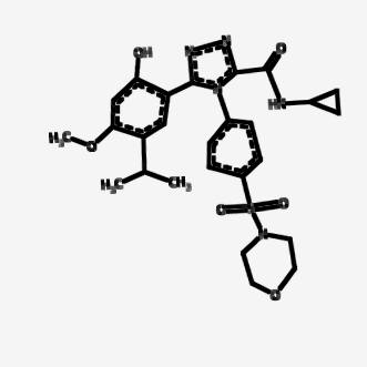 COc1cc(O)c(-c2nnc(C(=O)NC3CC3)n2-c2ccc(S(=O)(=O)N3CCOCC3)cc2)cc1C(C)C